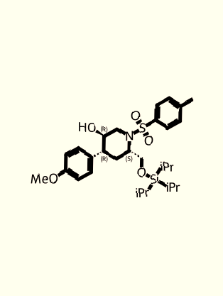 COc1ccc([C@H]2C[C@@H](CO[Si](C(C)C)(C(C)C)C(C)C)N(S(=O)(=O)c3ccc(C)cc3)C[C@@H]2O)cc1